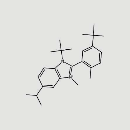 Cc1ccc(C(C)(C)C)cc1-c1n(C(C)(C)C)c2ccc(C(C)C)cc2[n+]1C